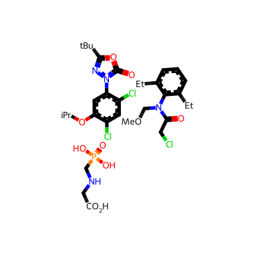 CC(C)Oc1cc(-n2nc(C(C)(C)C)oc2=O)c(Cl)cc1Cl.CCc1cccc(CC)c1N(COC)C(=O)CCl.O=C(O)CNCP(=O)(O)O